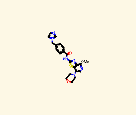 COc1ncc(N2CCOCC2)c2sc(NC(=O)c3ccc(Cn4ccnc4)cc3)nc12